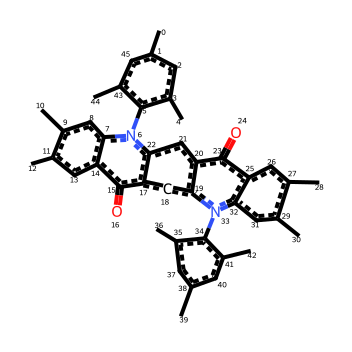 Cc1cc(C)c(-n2c3cc(C)c(C)cc3c(=O)c3cc4c(cc32)c(=O)c2cc(C)c(C)cc2n4-c2c(C)cc(C)cc2C)c(C)c1